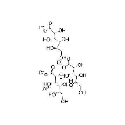 O=C(O[O-])[C@H](O)[C@@H](O)[C@H](O)[C@H](O)CO.O=C(O[O-])[C@H](O)[C@@H](O)[C@H](O)[C@H](O)CO.O=C(O[O-])[C@H](O)[C@@H](O)[C@H](O)[C@H](O)CO.[Al+3]